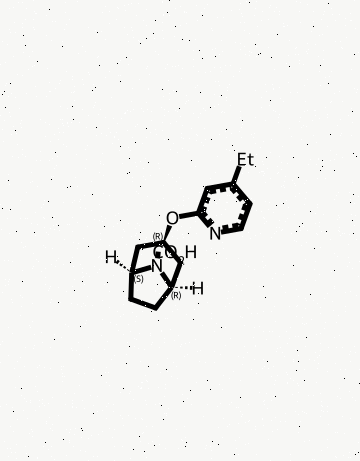 CCc1ccnc(O[C@H]2C[C@H]3CC[C@@H](C2)N3C(=O)O)c1